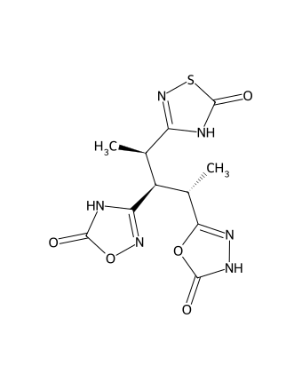 C[C@H](c1n[nH]c(=O)o1)[C@@H](c1noc(=O)[nH]1)[C@@H](C)c1nsc(=O)[nH]1